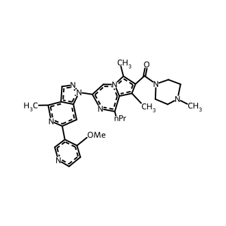 CCCc1nc(-n2ncc3c(C)nc(-c4cnccc4OC)cc32)cn2c(C)c(C(=O)N3CCN(C)CC3)c(C)c12